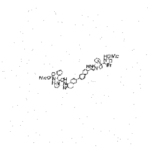 COC(=O)NC(C(=O)N1CCC[C@H]1c1ncc(-c2ccc3cc(-c4ccc5c(c4)CCc4nc([C@@H]6CCCN6C(=O)[C@H](NC(=O)OC)c6ccccc6)[nH]c4-5)ccc3c2)[nH]1)C(C)C